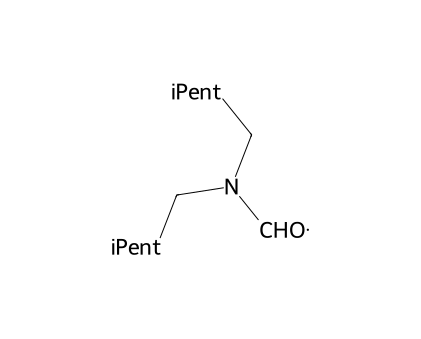 CCCC(C)CN([C]=O)CC(C)CCC